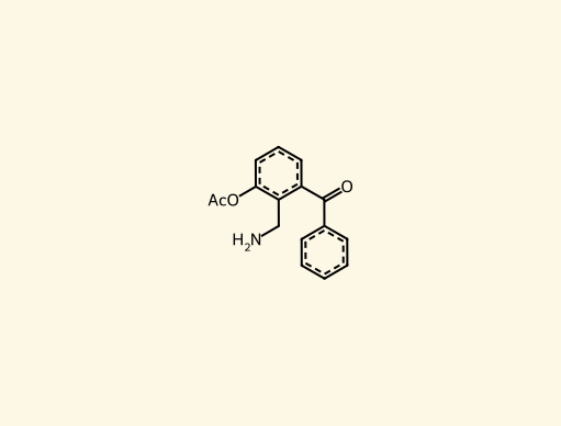 CC(=O)Oc1cccc(C(=O)c2ccccc2)c1CN